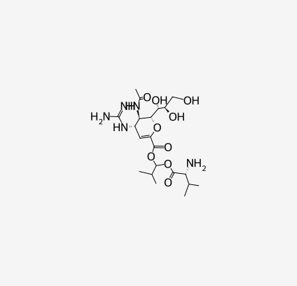 CC(=O)N[C@H]1[C@H]([C@H](O)[C@H](O)CO)OC(C(=O)OC(OC(=O)[C@H](N)C(C)C)C(C)C)=C[C@@H]1NC(=N)N